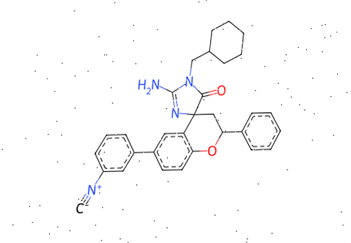 [C-]#[N+]c1cccc(-c2ccc3c(c2)C2(CC(c4ccccc4)O3)N=C(N)N(CC3CCCCC3)C2=O)c1